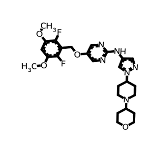 COc1cc(OC)c(F)c(COc2cnc(Nc3cnn(C4CCN(C5CCOCC5)CC4)c3)nc2)c1F